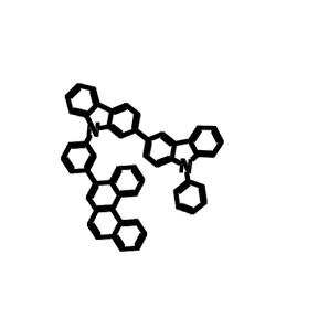 c1ccc(-n2c3ccccc3c3cc(-c4ccc5c6ccccc6n(-c6cccc(-c7cc8ccc9ccccc9c8c8ccccc78)c6)c5c4)ccc32)cc1